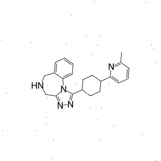 Cc1cccc(C2CCC(c3nnc4n3-c3ccccc3CNC4)CC2)n1